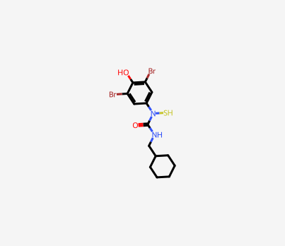 O=C(NCC1CCCCC1)N(S)c1cc(Br)c(O)c(Br)c1